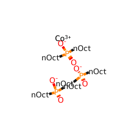 CCCCCCCCP(=O)([O-])CCCCCCCC.CCCCCCCCP(=O)([O-])CCCCCCCC.CCCCCCCCP(=O)([O-])CCCCCCCC.[Co+3]